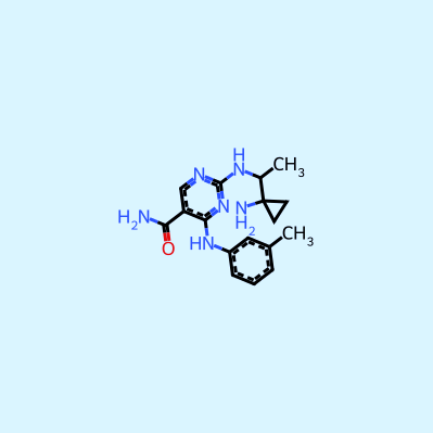 Cc1cccc(Nc2nc(NC(C)C3(N)CC3)ncc2C(N)=O)c1